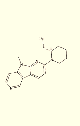 Cn1c2ccncc2c2ccc(N3CCCC[C@H]3C[18F])nc21